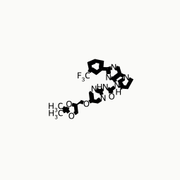 CC1(C)OC[C@H](COc2cnc(NC(=O)N3c4nc(-c5cccc(C(F)(F)F)c5)ncc4N4CC[C@H]3C4)nc2)O1